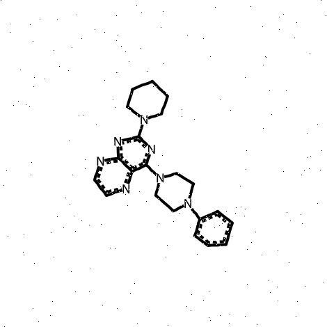 c1ccc(N2CCN(c3nc(N4CCCCC4)nc4nccnc34)CC2)cc1